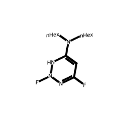 CCCCCCN(CCCCCC)C1=CC(F)=NN(F)N1